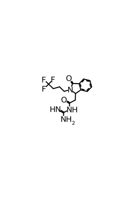 N=C(N)NC(=O)CC1c2ccccc2C(=O)N1CCCC(F)(F)F